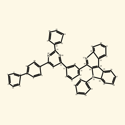 c1ccc(-c2ccc(-c3cc(-c4cccc(-c5nc6ccccc6c6c7ccccc7n(-c7ccccc7)c56)c4)nc(-c4ccccc4)n3)cc2)cc1